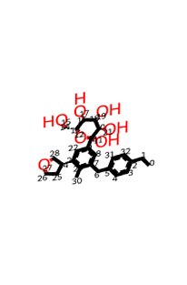 CCc1ccc(Cc2cc(C3(O)O[C@H](CO)[C@@H](O)[C@H](O)[C@H]3O)cc([C@H]3CCOC3)c2C)cc1